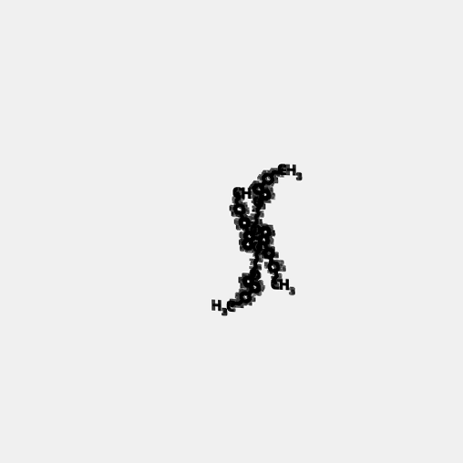 CCCC1CCC(c2ccc(-c3cc4ccccc4c(-c4c(OCCCCCCOc5cccc6c(C7CCC(CCC)CC7)cccc56)c(-c5ccc(C6CCC(CCC)CC6)cc5)cc5ccccc45)c3OCCCCCCOc3cccc4c(C5CCC(CCC)CC5)cccc34)cc2)CC1